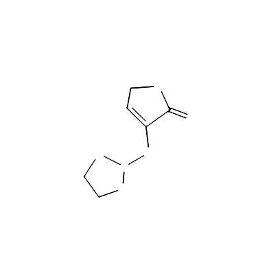 O=C1OCC=C1OP1OCCO1